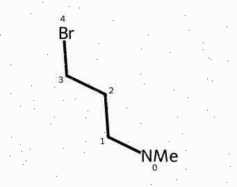 CNCCCBr